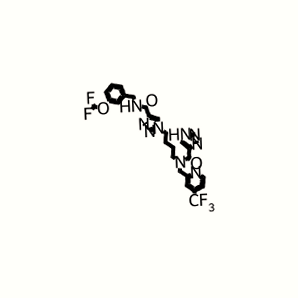 O=C(NCc1cccc(OC(F)F)c1)c1cn(CCCCN(Cc2cc(C(F)(F)F)ccn2)C(=O)c2c[nH]nn2)nn1